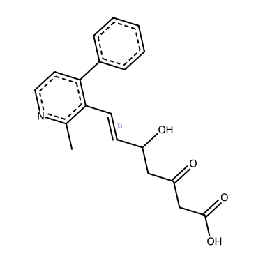 Cc1nccc(-c2ccccc2)c1/C=C/C(O)CC(=O)CC(=O)O